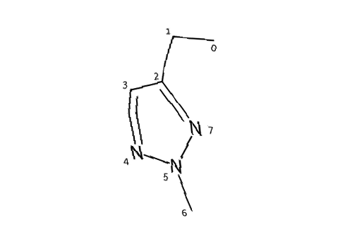 CCc1cnn(C)n1